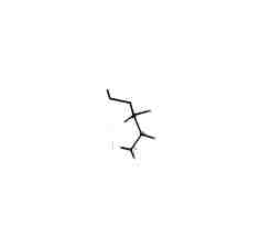 F[CH]CC(F)(F)C(F)C(F)F